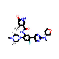 C[C@@H]1CN(c2cc(F)c(-c3cnc(N(C)[C@@H]4CCOC4)nc3)cc2NC(=O)c2c[nH]c(=O)cc2C(F)(F)F)C[C@H](C)N1C